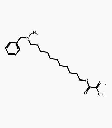 C=C(C)C(=O)OCCCCCCCCCCCN(C)Cc1ccccc1